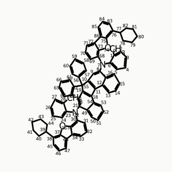 Cc1ccccc1N(c1cc2c(c3ccccc13)-c1c(cc(N(c3ccccc3C)c3cccc4c3oc3c(C5CCCCC5)cccc34)c3ccccc13)C2(c1ccccc1)c1ccccc1)c1cccc2c1oc1c(C3CCCCC3)cccc12